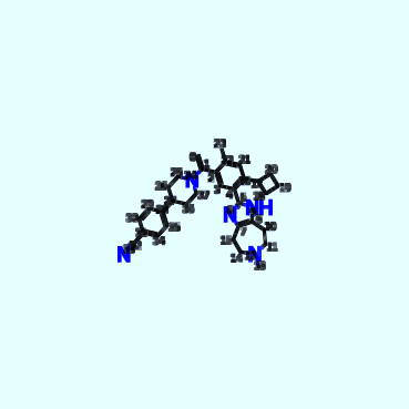 C=C(c1cc(-c2nc3c([nH]2)CCN(C)CC3)c(C2CCC2)cc1C)N1CCC(c2ccc(C#N)cc2)CC1